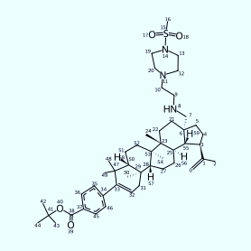 C=C(C)[C@@H]1CC[C@]2(CNCCN3CCN(S(C)(=O)=O)CC3)CC[C@]3(C)[C@H](CC[C@@H]4[C@@]5(C)CC=C(c6ccc(C(=O)OC(C)(C)C)cc6)C(C)(C)[C@@H]5CC[C@]43C)[C@@H]12